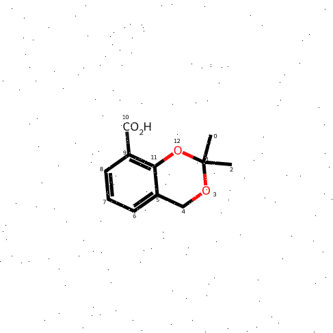 CC1(C)OCc2cccc(C(=O)O)c2O1